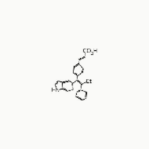 CCC(=C(c1ccc(C=CC(=O)O)cc1)c1ccc2[nH]ccc2c1)c1ccccc1